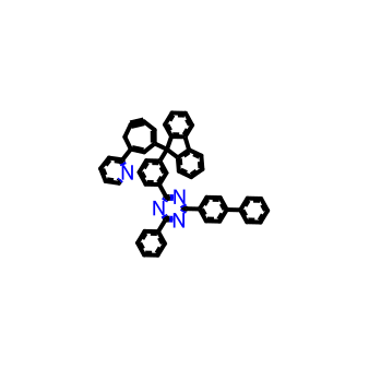 C1#CCC(c2ccccn2)=CC(C2(c3cccc(-c4nc(-c5ccccc5)nc(-c5ccc(-c6ccccc6)cc5)n4)c3)c3ccccc3-c3ccccc32)=C1